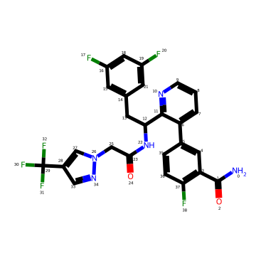 NC(=O)c1cc(-c2cccnc2C(Cc2cc(F)cc(F)c2)NC(=O)Cn2cc(C(F)(F)F)cn2)ccc1F